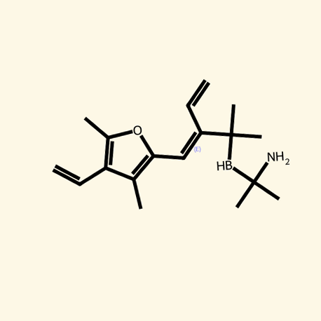 C=C/C(=C\c1oc(C)c(C=C)c1C)C(C)(C)BC(C)(C)N